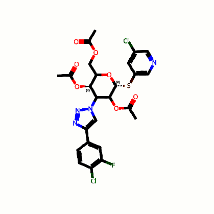 CC(=O)OCC1O[C@H](Sc2cncc(Cl)c2)C(OC(C)=O)C(n2cc(-c3ccc(Cl)c(F)c3)nn2)[C@H]1OC(C)=O